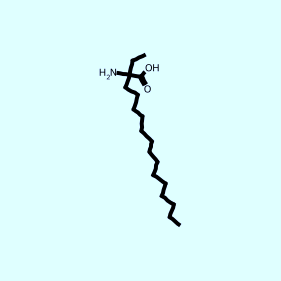 CCCCCCCCCCCCCCC(N)(CC)C(=O)O